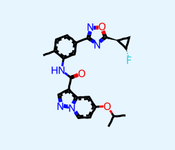 Cc1ccc(-c2noc([C@H]3C[C@@H]3F)n2)cc1NC(=O)c1cnn2ccc(OC(C)C)cc12